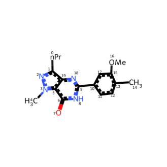 CCCc1nn(C)c2c(=O)[nH]c(-c3ccc(C)c(OC)c3)nc12